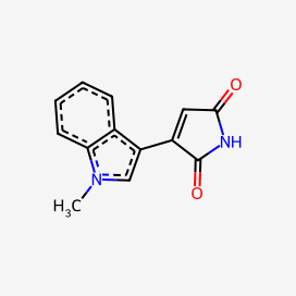 Cn1cc(C2=CC(=O)NC2=O)c2ccccc21